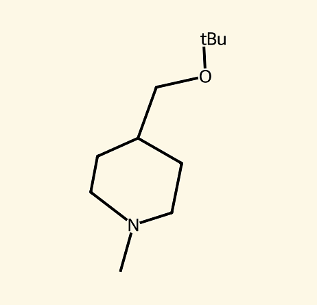 CN1CCC(COC(C)(C)C)CC1